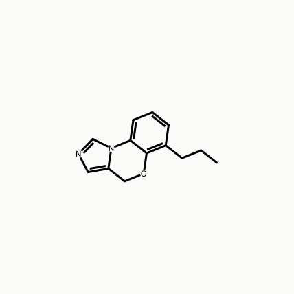 CCCc1cccc2c1OCc1cncn1-2